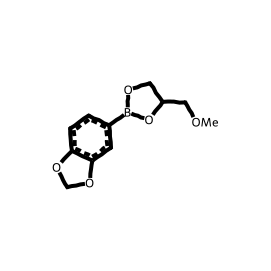 COCC1COB(c2ccc3c(c2)OCO3)O1